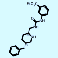 CCOC(=O)c1cccc(NC(=O)NC[C@@H]2CC[C@@H](Cc3ccccc3)CN2)c1